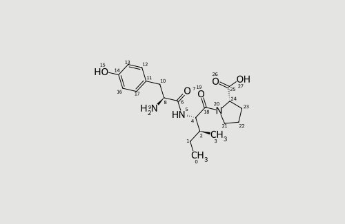 CC[C@H](C)[C@H](NC(=O)[C@@H](N)Cc1ccc(O)cc1)C(=O)N1CCC[C@H]1C(=O)O